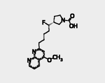 COc1cc(CCCCC(F)[C@@H]2CCN(C(=O)O)C2)nc2ncccc12